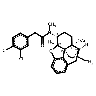 CC(=O)O[C@@]12CC[C@@H](N(C)C(=O)Cc3ccc(Cl)c(Cl)c3)[C@@H]3Oc4cccc5c4[C@@]31CCN(C)[C@@H]2C5